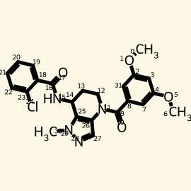 COc1cc(OC)cc(C(=O)N2CCC(NC(=O)c3ccccc3Cl)c3c2cnn3C)c1